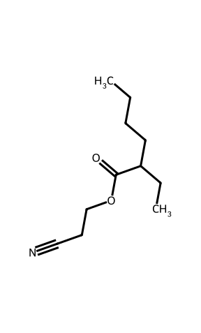 CCCCC(CC)C(=O)OCCC#N